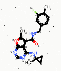 Cc1ccc(CNC(=O)c2c(C)oc3ncnc(NC4(C)CC4)c23)cc1F